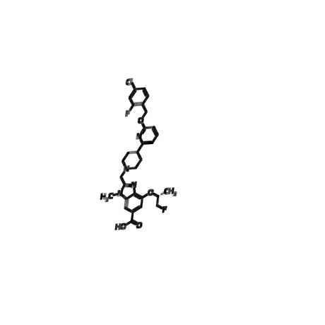 C[C@H](CF)Oc1cc(C(=O)O)cc2c1nc(CN1CCC(c3cccc(OCc4ccc(Cl)cc4F)n3)CC1)n2C